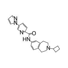 O=C(Nc1ccc2c(c1)CCN(C1CCC1)CC2)c1ccc(-n2cccn2)cn1